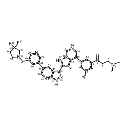 CN(C)CCNc1cc(F)cc(-c2cncc3[nH]c(-c4n[nH]c5ncc(-c6cncc(CN7CCC(F)(F)C7)c6)cc45)cc23)c1